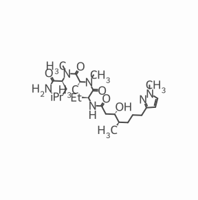 CC[C@H](NC(=O)C[C@H](O)[C@H](C)CCCc1ccn(C)n1)C(=O)N(C)[C@H](C)C(=O)N(C)[C@@H](CC(C)C)C(N)=O